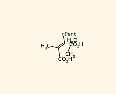 CC(=O)O.CCCCCC=C(C)C(=O)O.O